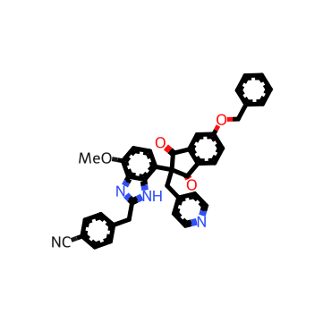 COc1ccc(C2(Cc3ccncc3)C(=O)c3ccc(OCc4ccccc4)cc3C2=O)c2[nH]c(Cc3ccc(C#N)cc3)nc12